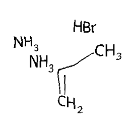 Br.C=CC.N.N